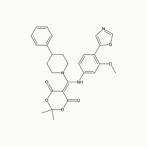 COc1cc(NC(=C2C(=O)OC(C)(C)OC2=O)N2CCC(c3ccccc3)CC2)ccc1-c1cnco1